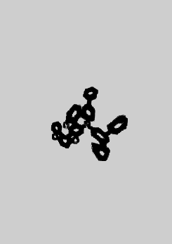 c1ccc(-c2ccc(N(c3cc(-c4ccccc4)cc(-c4ccccc4)c3)c3cc4oc5ccc6oc7ccccc7c6c5c4c4oc5ccccc5c34)cc2)cc1